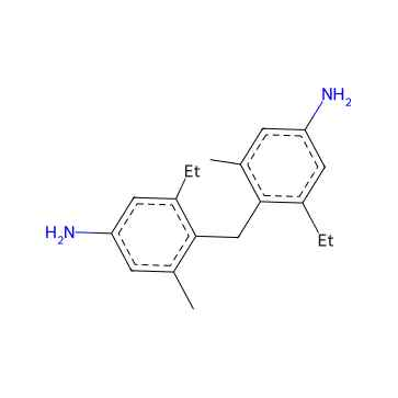 CCc1cc(N)cc(C)c1Cc1c(C)cc(N)cc1CC